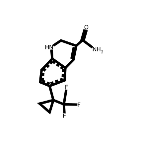 NC(=O)C1=Cc2cc(C3(C(F)(F)F)CC3)ccc2NC1